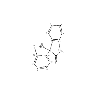 O=C1Nc2ccncc2C1(O)c1ccccc1F